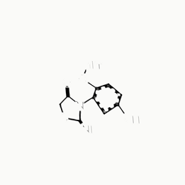 CCCOc1ccc(C)cc1N1C(=N)SCC1=O